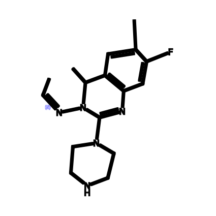 C/C=N\N1C(N2CCNCC2)=Nc2cc(F)c(C)cc2C1C